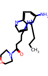 CCCC1N=C2C(N)=CC=C3N=CC=CC32N1CCCC(=O)N1CCOCC1